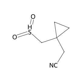 N#CCC1(C[SH](=O)=O)CC1